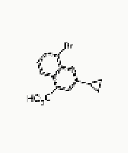 O=C(O)c1cc(C2CC2)nc2c(Br)cccc12